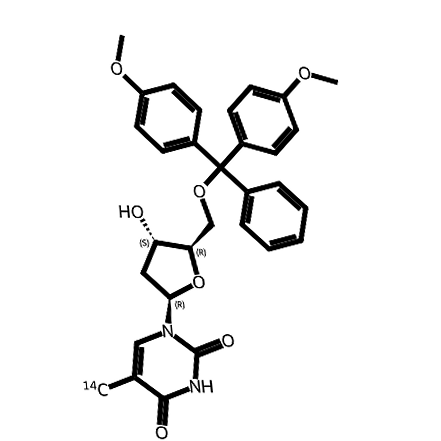 COc1ccc(C(OC[C@H]2O[C@@H](n3cc([14CH3])c(=O)[nH]c3=O)C[C@@H]2O)(c2ccccc2)c2ccc(OC)cc2)cc1